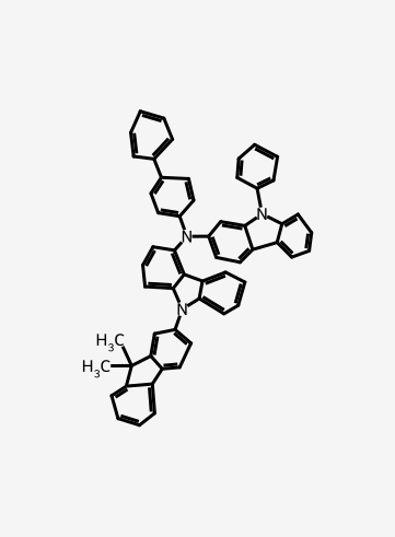 CC1(C)c2ccccc2-c2ccc(-n3c4ccccc4c4c(N(c5ccc(-c6ccccc6)cc5)c5ccc6c7ccccc7n(-c7ccccc7)c6c5)cccc43)cc21